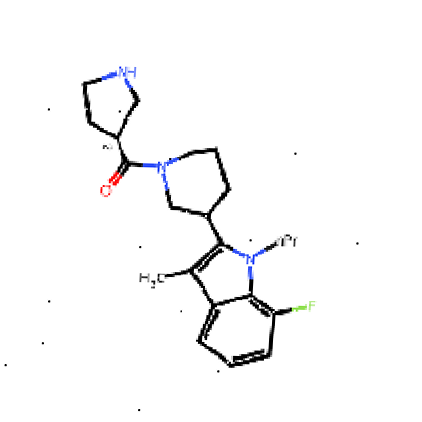 CCCn1c(C2CCCN(C(=O)[C@H]3CCNC3)C2)c(C)c2cccc(F)c21